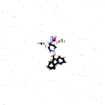 CC(C)(C)OC(=O)NC1(C(=O)O)CCN(OCC2c3ccccc3-c3ccccc32)CC1